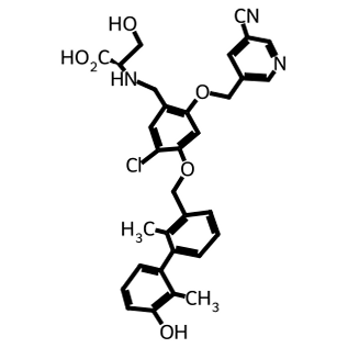 Cc1c(O)cccc1-c1cccc(COc2cc(OCc3cncc(C#N)c3)c(CN[C@H](CO)C(=O)O)cc2Cl)c1C